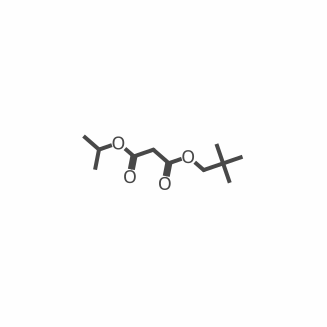 CC(C)OC(=O)CC(=O)OCC(C)(C)C